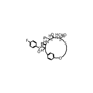 CC(C)[C@@H]1NC(=O)[C@@H](N[S+]([O-])c2ccc(F)cc2)Cc2ccc(cc2)OCCCCSC[C@@H](C=O)NC1=O